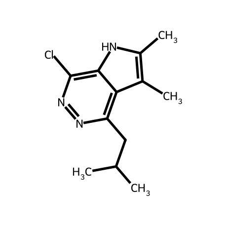 Cc1[nH]c2c(Cl)nnc(CC(C)C)c2c1C